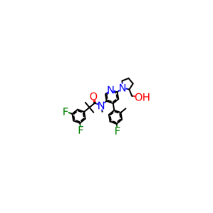 Cc1cc(F)ccc1-c1cc(N2CCCC2CO)ncc1N(C)C(=O)C(C)(C)c1cc(F)cc(F)c1